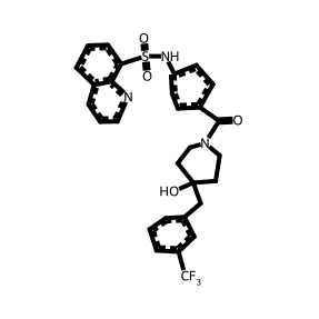 O=C(c1ccc(NS(=O)(=O)c2cccc3cccnc23)cc1)N1CCC(O)(Cc2cccc(C(F)(F)F)c2)CC1